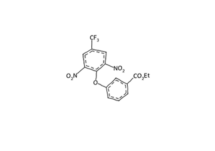 CCOC(=O)c1cccc(Oc2c([N+](=O)[O-])cc(C(F)(F)F)cc2[N+](=O)[O-])c1